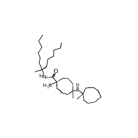 BC1(C(=O)NC(C)(CCCCCC)CCCCCC)CCCC(C)(BC2(C)CCCCCCC2)CCC1